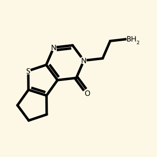 BCCn1cnc2sc3c(c2c1=O)CCC3